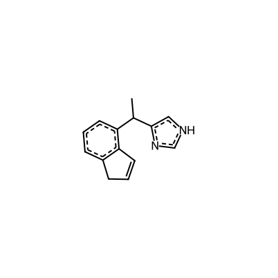 CC(c1c[nH]cn1)c1cccc2c1C=CC2